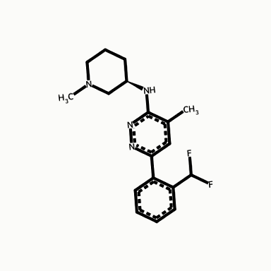 Cc1cc(-c2ccccc2C(F)F)nnc1N[C@@H]1CCCN(C)C1